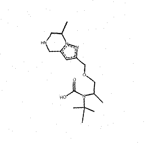 CC(COCc1cc2n(n1)C(C)CNC2)N(C(=O)O)C(C)(C)C